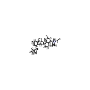 C=C/N=C(/c1cc(C)nc2c(OCc3c(Cl)cncc3Sc3nccs3)cccc12)N(C)C